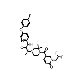 C[C@@H](C(=O)Nc1ccc(Oc2ccc(F)cc2)cn1)N1CCN(C(=O)c2ccc(=O)n(CC(F)F)c2)C(C)(C)C1